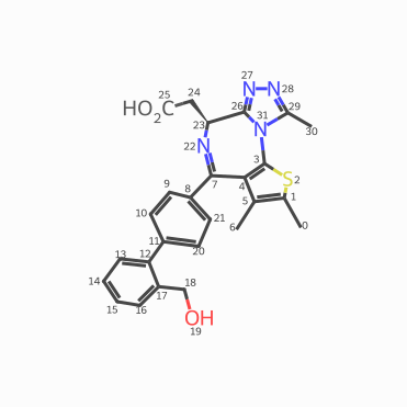 Cc1sc2c(c1C)C(c1ccc(-c3ccccc3CO)cc1)=N[C@@H](CC(=O)O)c1nnc(C)n1-2